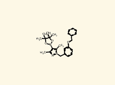 Cc1nn(Cc2cccc(OCc3ccccc3)c2)c(C)c1B1OC(C)(C)C(C)(C)O1